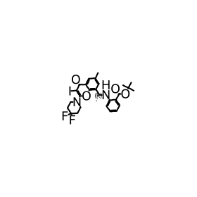 Cc1cc([C@@H](C)Nc2ccccc2C(=O)OC(C)(C)C)c2oc(N3CCC(F)(F)CC3)c(I)c(=O)c2c1